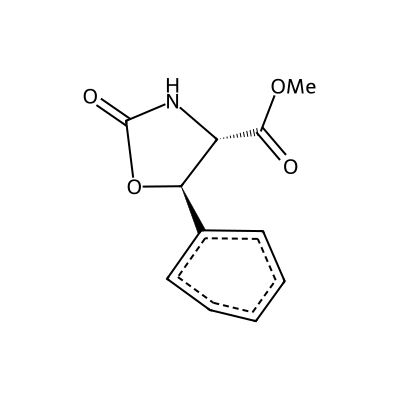 COC(=O)[C@H]1NC(=O)O[C@@H]1c1ccccc1